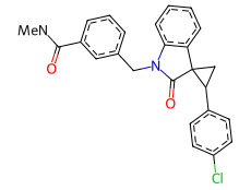 CNC(=O)c1cccc(CN2C(=O)C3(CC3c3ccc(Cl)cc3)c3ccccc32)c1